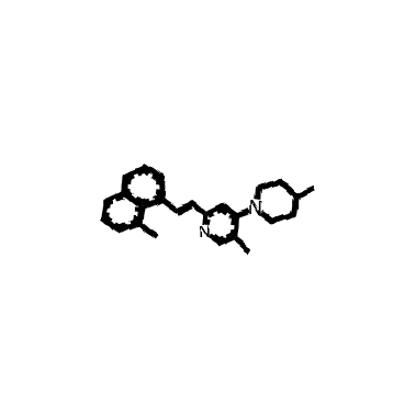 Cc1cnc(C=Cc2cccc3cccc(C)c23)cc1N1CCC(C)CC1